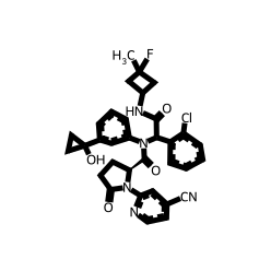 CC1(F)CC(NC(=O)C(c2ccccc2Cl)N(C(=O)[C@@H]2CCC(=O)N2c2cc(C#N)ccn2)c2cccc(C3(O)CC3)c2)C1